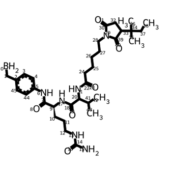 BCc1ccc(NC(=O)[C@H](CCCNC(N)=O)NC(=O)C(NC(=O)CCCCCN2C(=O)CC(C(C)(C)CC)C2=O)C(C)C)cc1